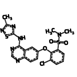 Cc1nsc(Nc2ncnc3ccc(Oc4c(Cl)cccc4S(=O)(=O)N(C)C)cc23)n1